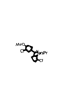 CCCn1nc(-c2ccc(OC)c(Cl)c2)c2cccc(Cl)c21